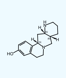 Oc1ccc2c(c1)CCN1C[C@H]3CCCN[C@H]3C[C@@H]21